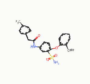 COc1ccccc1Oc1ccc(NC(=O)Cc2ccc(C(F)(F)F)cc2)cc1S(N)(=O)=O